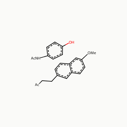 CC(=O)Nc1ccc(O)cc1.COc1ccc2cc(CCC(C)=O)ccc2c1